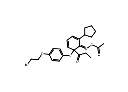 CCC(=O)C1(Sc2ccc(OCCO)cc2)C=CC=C(C2CCCC2)C1=NOC(C)=O